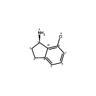 N[C@@H]1CCc2cccc(Cl)c21